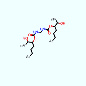 CCCC(O)C(CCCC(C)=O)OC(=O)NCNC(=O)OC(CCCC(C)=O)C(O)CCC